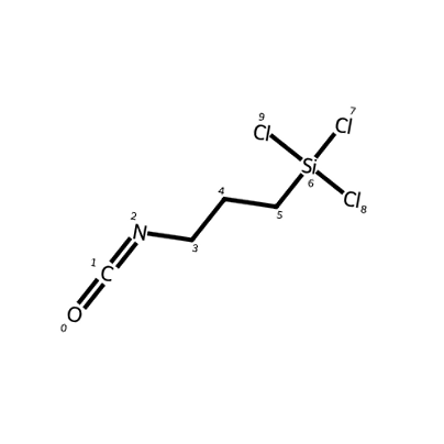 O=C=NCCC[Si](Cl)(Cl)Cl